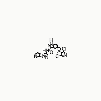 CC(Oc1ccc2[nH]nc(C(=O)Nc3cnn(Cc4cccnc4)c3)c2c1)c1c(Cl)cncc1Cl